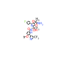 C[C@]1(C(N)=O)COc2c1cc(C(O)(CNC(=O)c1ccc(OC3CC3)c(-c3cncc(C(F)(F)F)c3)c1)C(F)(F)F)nc2-c1ccc(F)cc1